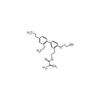 C=C(C)C(=O)OCCc1cc(-c2ccc(CCC)cc2CC)ccc1OCCO